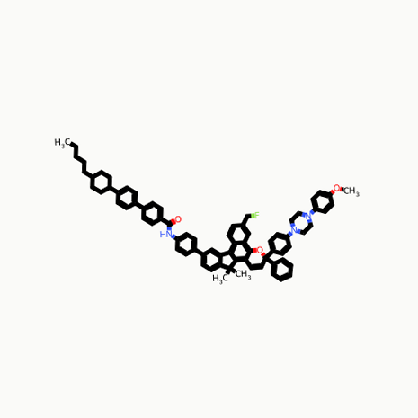 CCCCCC1CCC(c2ccc(-c3ccc(C(=O)Nc4ccc(-c5ccc6c(c5)-c5c(c7c(c8cc(CF)ccc58)OC(c5ccccc5)(c5ccc(N8CCN(c9ccc(OC)cc9)CC8)cc5)C=C7)C6(C)C)cc4)cc3)cc2)CC1